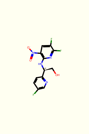 O=[N+]([O-])c1cc(F)c(F)nc1N[C@@H](CO)c1ccc(F)cn1